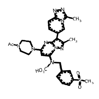 CC(=O)N1CCN(c2cc(N(Cc3cccc(S(C)(=O)=O)c3)C(=O)O)n3nc(C)c(-c4ccc5nnc(C)n5c4)c3n2)CC1